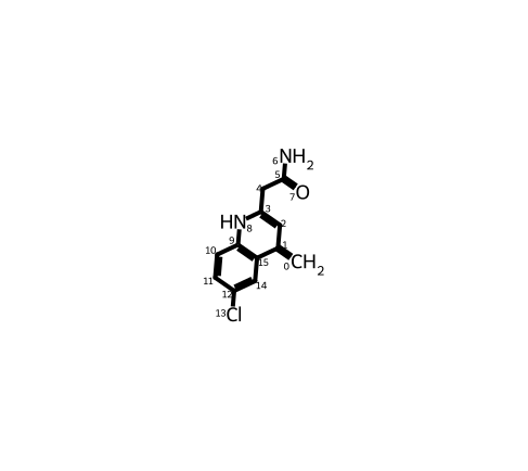 C=C1C=C(CC(N)=O)Nc2ccc(Cl)cc21